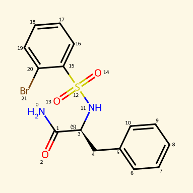 NC(=O)[C@H](Cc1ccccc1)NS(=O)(=O)c1ccccc1Br